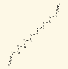 N#CCCCCC=CCCCCCCCCC#N